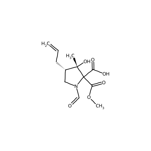 C=CC[C@H]1CN(C=O)C(C(=O)O)(C(=O)OC)[C@@]1(C)O